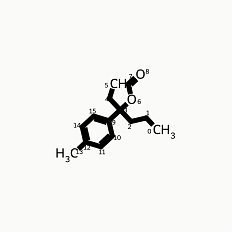 CCCC(CC)(OC=O)c1ccc(C)cc1